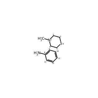 CN1CCSCC1.Nc1ccccc1